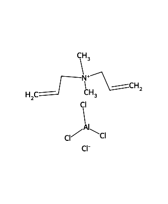 C=CC[N+](C)(C)CC=C.[Cl-].[Cl][Al]([Cl])[Cl]